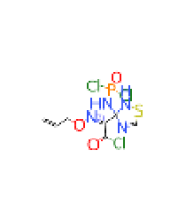 C=CCO/N=C(\C(=O)Cl)C1(NP(=O)(Cl)Cl)N=CSN1